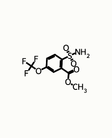 COC(=O)c1cc(OC(F)(F)F)ccc1S(N)(=O)=O